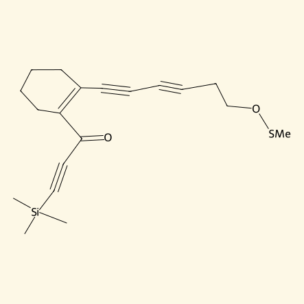 CSOCCC#CC#CC1=C(C(=O)C#C[Si](C)(C)C)CCCC1